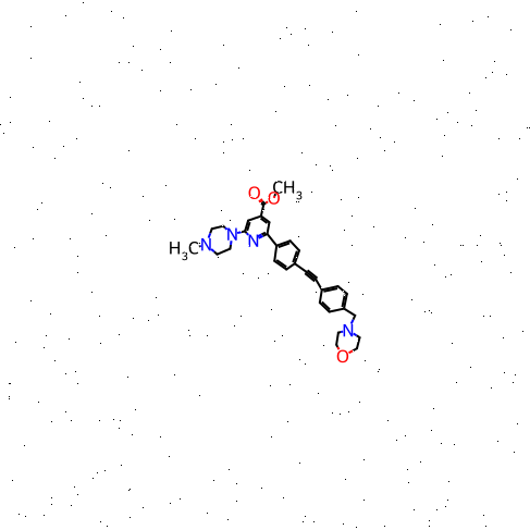 COC(=O)c1cc(-c2ccc(C#Cc3ccc(CN4CCOCC4)cc3)cc2)nc(N2CCN(C)CC2)c1